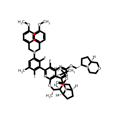 COc1ccc(CN(Cc2ccc(OC)cc2)c2cc(C)c(I)c(-c3nc4c5c(nc(OC[C@@H]6CC[C@H]7COCCN76)nc5c3F)N3C[C@H]5CC[C@@H]([C@H]3[C@H](C)O4)N5C(=O)OC(C)(C)C)c2F)cc1